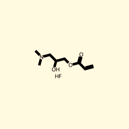 C=CC(=O)OCC(O)CN(C)C.F